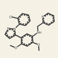 COc1cc(OC)c(-c2ccnn2-c2ccccc2Cl)cc1NCc1ccccn1